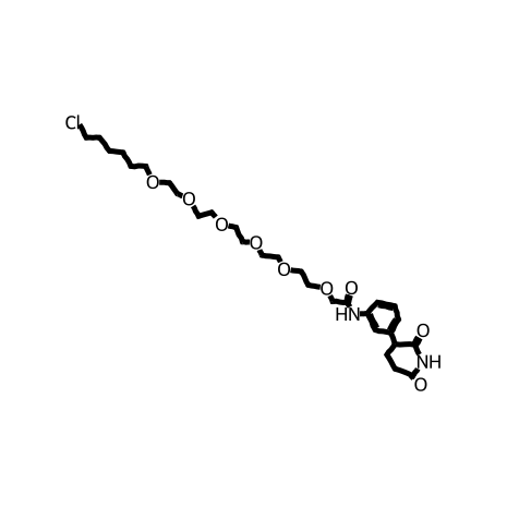 O=C1CCC(c2cccc(NC(=O)COCCOCCOCCOCCOCCOCCCCCCCl)c2)C(=O)N1